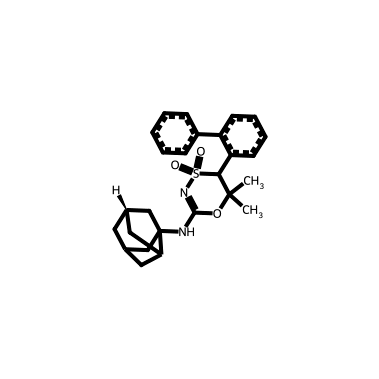 CC1(C)OC(NC23CC4CC2C[C@H](C4)C3)=NS(=O)(=O)C1c1ccccc1-c1ccccc1